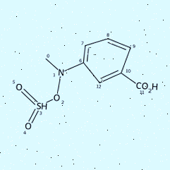 CN(O[SH](=O)=O)c1cc[c]c(C(=O)O)c1